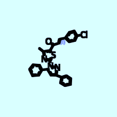 Cc1nc(-n2nc(-c3ccccc3)cc2-c2ccccc2)sc1C(=O)/C=C/c1ccc(Cl)cc1